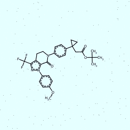 COc1ccc(-n2nc(C(F)(F)F)c3c2C(=O)N(c2ccc(C4(CC(=O)OC(C)(C)C)CC4)cc2)CC3)cc1